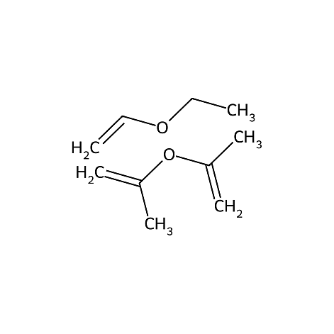 C=C(C)OC(=C)C.C=COCC